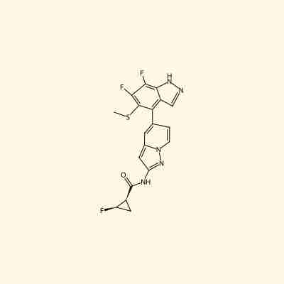 CSc1c(F)c(F)c2[nH]ncc2c1-c1ccn2nc(NC(=O)[C@H]3C[C@H]3F)cc2c1